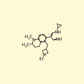 CCN1CC(Cc2c(/C(C=N)=C/NC3CC3)ccc3c2CCC(C)N3C)C1